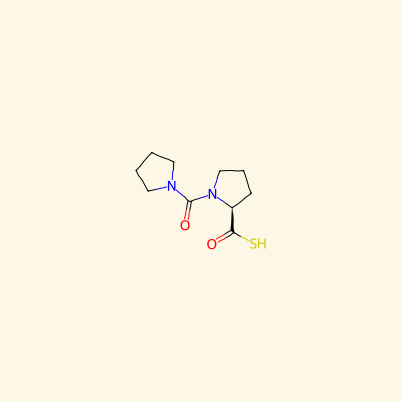 O=C(S)[C@@H]1CCCN1C(=O)N1CCCC1